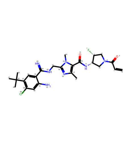 C=CC(=O)N1C[C@@H](F)[C@@H](NC(=O)c2c(C)nc(CNC(=N)c3cc(C(C)(C)C)c(Cl)cc3N)n2C)C1